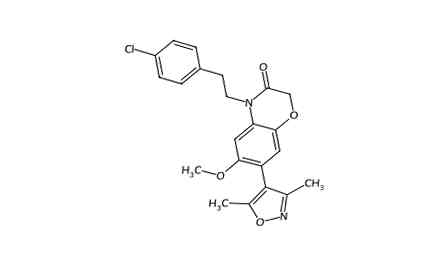 COc1cc2c(cc1-c1c(C)noc1C)OCC(=O)N2CCc1ccc(Cl)cc1